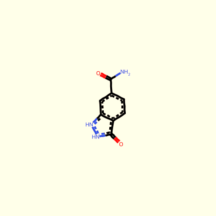 NC(=O)c1ccc2c(=O)[nH][nH]c2c1